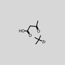 CC(=O)CC(=O)O.C[C](C)(C)[Zr]